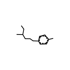 CCC(C)CCCc1ccc(C)cc1